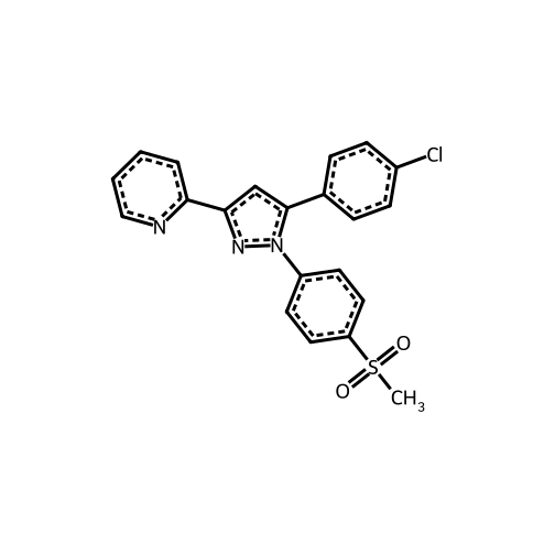 CS(=O)(=O)c1ccc(-n2nc(-c3ccccn3)cc2-c2ccc(Cl)cc2)cc1